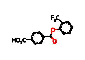 O=C(O)c1ccc(C(=O)Oc2ccccc2C(F)(F)F)cc1